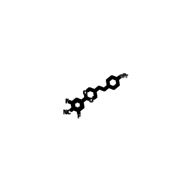 CCCC1CCC(CCC2COC(c3cc(F)c(C#N)c(F)c3)OC2)CC1